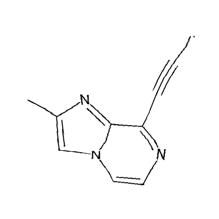 [CH2]C#Cc1nccn2cc(C)nc12